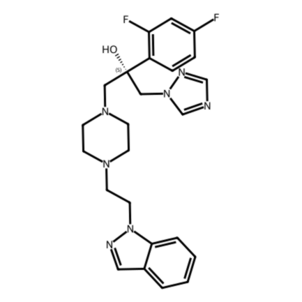 O[C@@](CN1CCN(CCn2ncc3ccccc32)CC1)(Cn1cncn1)c1ccc(F)cc1F